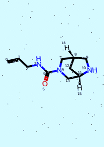 C=CCNC(=O)N1C[C@@H]2CN[C@@H](C2)C1